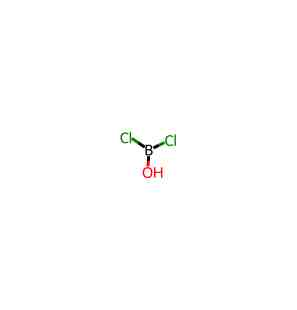 OB(Cl)Cl